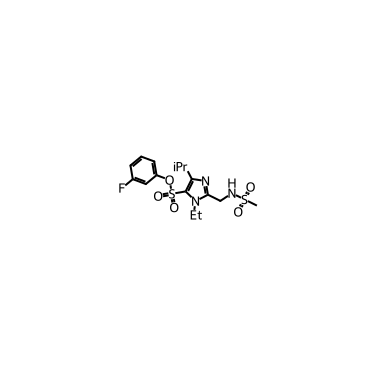 CCn1c(CNS(C)(=O)=O)nc(C(C)C)c1S(=O)(=O)Oc1cccc(F)c1